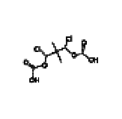 CC(C)(C(Cl)OC(=O)O)C(Cl)OC(=O)O